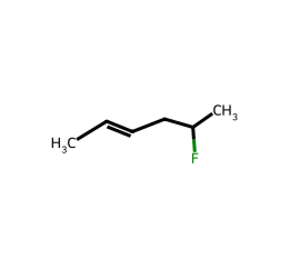 CC=CCC(C)F